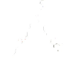 CCCCCC(CCCCC)CC(=O)OCCCCCCCCCC(CCCCCCCCCOC(=O)CC(CCCCC)CCCCC)OCCCN1CCCC1